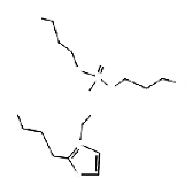 CCCCOP(=O)([O-])OCCCC.CCCCc1[nH]cc[n+]1CC